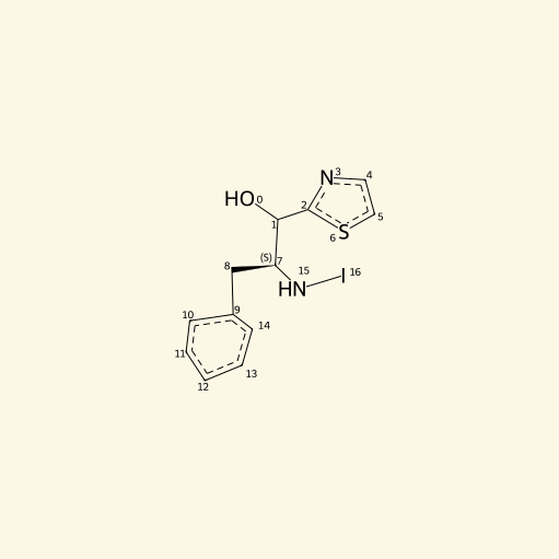 OC(c1nccs1)[C@H](Cc1ccccc1)NI